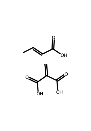 C=C(C(=O)O)C(=O)O.CC=CC(=O)O